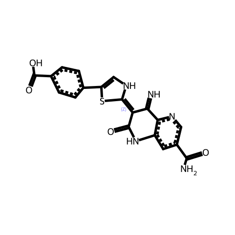 N=C1/C(=C2\NC=C(c3ccc(C(=O)O)cc3)S2)C(=O)Nc2cc(C(N)=O)cnc21